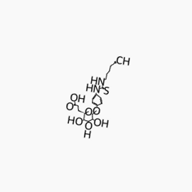 C#CCCCCNC(=S)Nc1ccc(OC2O[C@H](CCC(=O)O)[C@@H](O)[C@H](O)[C@@H]2O)cc1